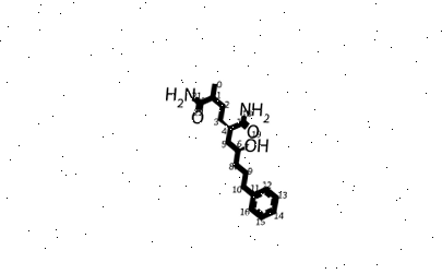 CC(CC[C@H](C[C@@H](O)[CH]CCc1ccccc1)C(N)=O)C(N)=O